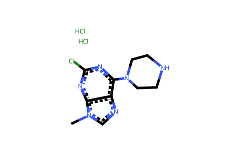 Cl.Cl.Cn1cnc2c(N3CCNCC3)nc(Cl)nc21